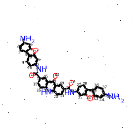 Nc1ccc2c(c1)oc1cc(NC(=O)c3ccc4[nH]c5ccc(C(=O)Nc6ccc7c(c6)oc6cc(N)ccc67)cc5c(=O)c4c3)ccc12